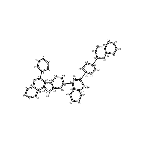 c1ccc(-c2cc3ccccc3c3oc4cc(-c5nc(-c6ccc(-c7ccc8ccccc8c7)cc6)nc6ccccc56)ccc4c23)cc1